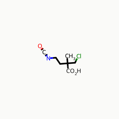 CC(CCl)(CCN=C=O)C(=O)O